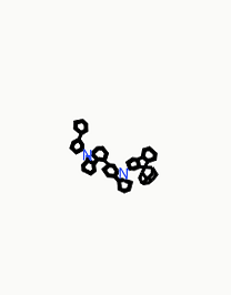 c1ccc(-c2cccc(-n3c4ccccc4c4c(-c5ccc6c7ccccc7n(-c7ccc8c(c7)C7(c9ccccc9-8)C8CC9CC(C8)CC7C9)c6c5)cccc43)c2)cc1